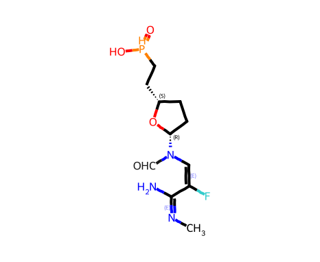 C/N=C(N)\C(F)=C/N(C=O)[C@H]1CC[C@@H](CC[PH](=O)O)O1